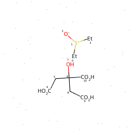 CC[S+]([O-])CC.O=C(O)CC(O)(CC(=O)O)C(=O)O